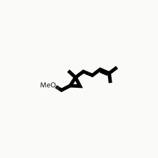 COCC1CC1(C)CCC=C(C)C